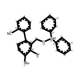 CC(C)(C)c1ccc(-c2ccccc2C#N)c(CO[SiH](c2ccccc2)c2ccccc2)c1Br